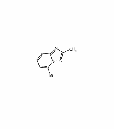 Cc1nc2cccc(Br)n2n1